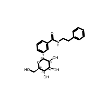 O=C(NCCc1ccccc1)c1cccc([C@H]2O[C@H](CO)[C@@H](O)[C@H](O)[C@@H]2O)c1